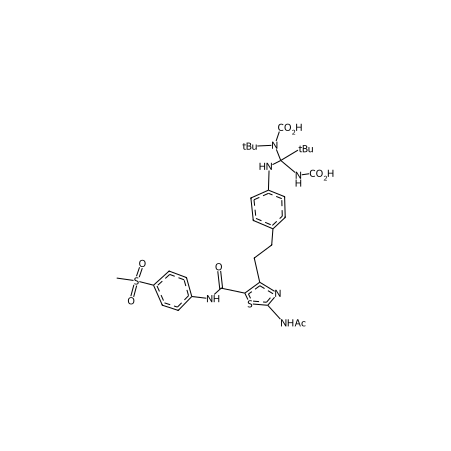 CC(=O)Nc1nc(CCc2ccc(NC(NC(=O)O)(N(C(=O)O)C(C)(C)C)C(C)(C)C)cc2)c(C(=O)Nc2ccc(S(C)(=O)=O)cc2)s1